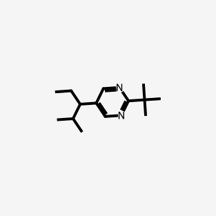 CCC(c1cnc(C(C)(C)C)nc1)C(C)C